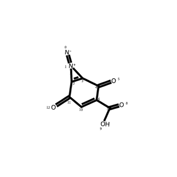 [N-]=[N+]1C2=C1C(=O)C(C(=O)O)=CC2=O